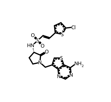 Nc1ncnc2c(CN3CC[C@H](NS(=O)(=O)C=Cc4ccc(Cl)s4)C3=O)csc12